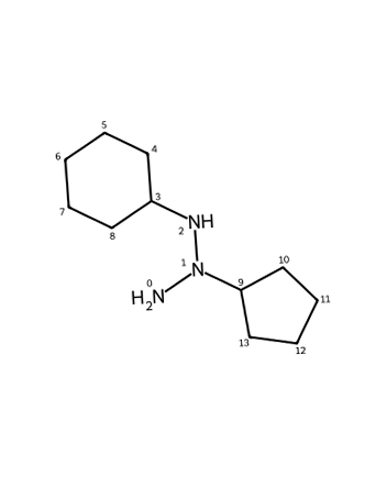 NN(NC1CCCCC1)C1CCCC1